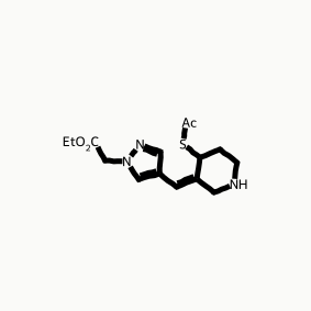 CCOC(=O)Cn1cc(C=C2CNCCC2SC(C)=O)cn1